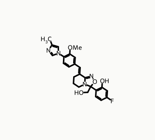 COc1cc(/C=C2\CCCN3C2=NOC3(CO)c2ccc(F)cc2O)ccc1-n1cnc(C)c1